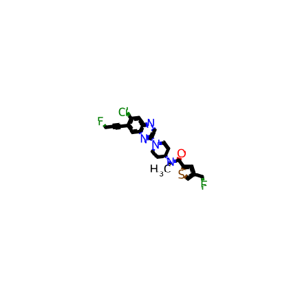 CN(C(=O)c1cc(CF)cs1)C1CCN(c2cnc3cc(Cl)c(C#CCF)cc3n2)CC1